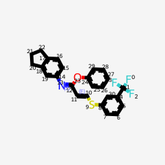 FC(F)(F)c1cccc(S/C=C/C(=N/c2ccc3c(c2)CCC3)Oc2ccccc2)c1